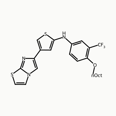 CCCCCCCCOc1ccc(Nc2cc(-c3cn4ccsc4n3)cs2)cc1C(F)(F)F